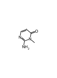 Cn1c(N)nc[c]c1=O